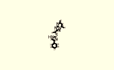 Cc1cc(C)n2nc(C(C)Sc3nc(-c4ccccc4)c[nH]3)nc2n1